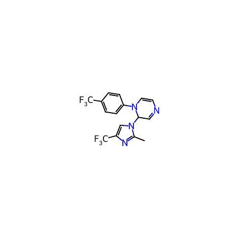 Cc1nc(C(F)(F)F)cn1C1C=NC=CN1c1ccc(C(F)(F)F)cc1